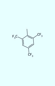 Cc1c(C(F)(F)F)cc(C(F)(F)F)cc1C(F)(F)F